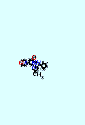 C[C@@H]1C[C@H](Cc2ccccc2)N(c2cc(N3CCOCC3)cc(=O)[nH]2)C1